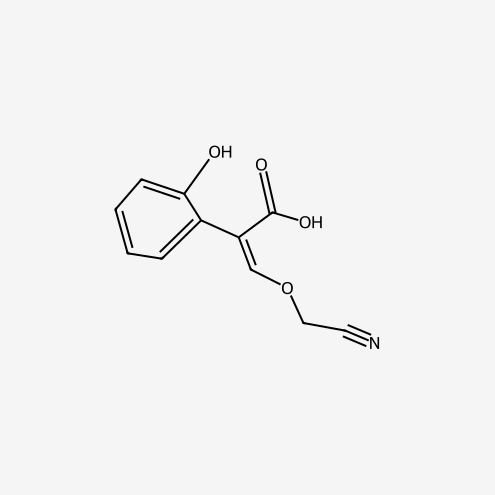 N#CCOC=C(C(=O)O)c1ccccc1O